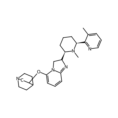 Cc1cccnc1[C@@H]1CCC[C@H](C2CN3C(OC4CN5CCC4CC5)=CC=CC3=N2)N1C